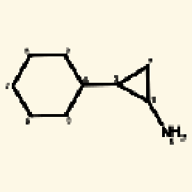 NC1CC1C1CCCCC1